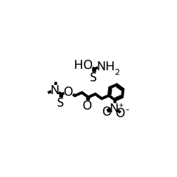 CN(C)C(=S)OCCC(=O)CCc1ccccc1[N+](=O)[O-].NC(O)=S